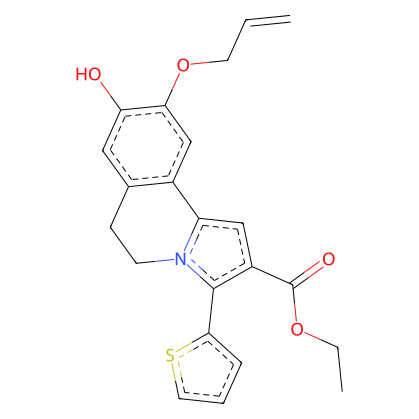 C=CCOc1cc2c(cc1O)CCn1c-2cc(C(=O)OCC)c1-c1cccs1